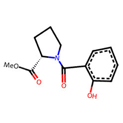 COC(=O)[C@@H]1CCCN1C(=O)c1ccccc1O